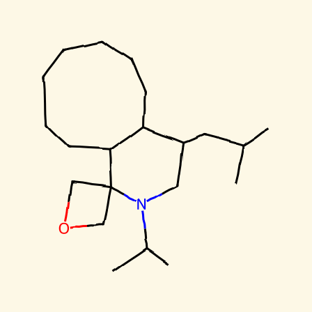 CC(C)CC1CN(C(C)C)C2(COC2)C2CCCCCCCC12